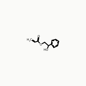 C=CC(=O)OCC(O)c1ccccc1